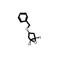 c1ccc(CO[C@H]2C[C@@H]3O[C@@H]3C2)cc1